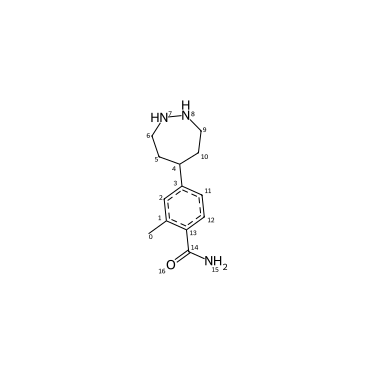 Cc1cc(C2CCNNCC2)ccc1C(N)=O